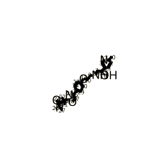 Cc1ccc([C@@H](O)CNCCOc2ccc(-c3coc(C(C)(C)C(=O)N(C)C)n3)cc2)cn1